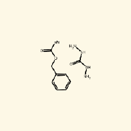 CCCC(=O)OCc1ccccc1.NNC(=O)NN